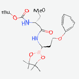 COC[C@@H](NC(=O)OC(C)(C)C)C(=O)N[C@@H](CCOc1ccccc1)B1OC(C)(C)C(C)(C)O1